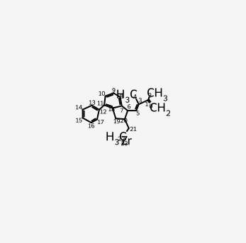 C=C(C)C(C)=CC1c2cccc(-c3ccccc3)c2CC1CC.[Zr]